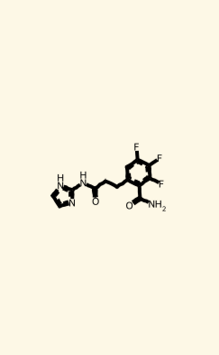 NC(=O)c1c(C[CH]C(=O)Nc2ncc[nH]2)cc(F)c(F)c1F